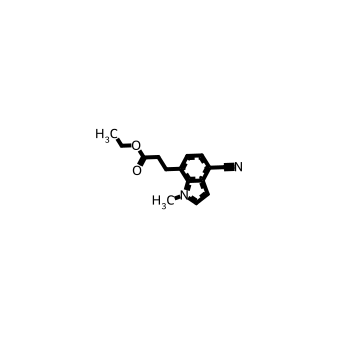 CCOC(=O)CCc1ccc(C#N)c2ccn(C)c12